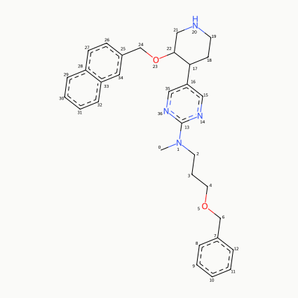 CN(CCCOCc1ccccc1)c1ncc(C2CCNCC2OCc2ccc3ccccc3c2)cn1